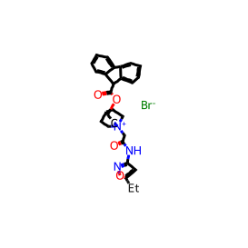 CCc1cc(NC(=O)C[N+]23CCC(CC2)C(OC(=O)C2c4ccccc4-c4ccccc42)C3)no1.[Br-]